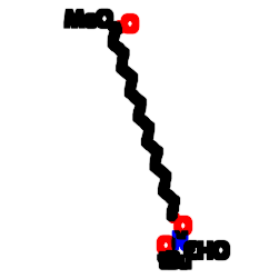 COC(=O)CCCCCCCCCCCCCCCON(C=O)OC(C)(C)C